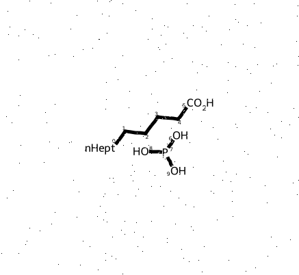 CCCCCCCCCCCC(=O)O.OP(O)O